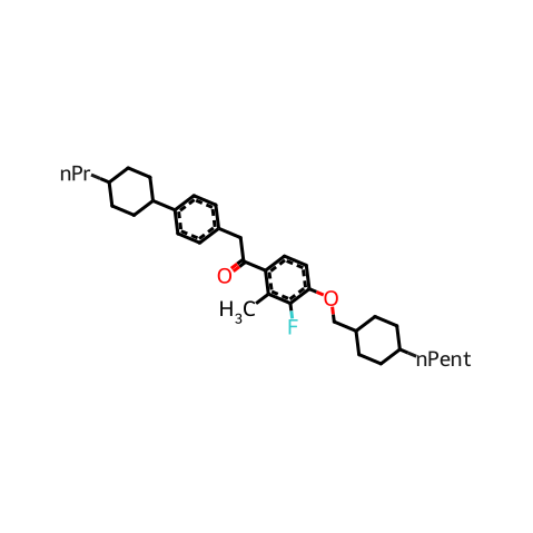 CCCCCC1CCC(COc2ccc(C(=O)Cc3ccc(C4CCC(CCC)CC4)cc3)c(C)c2F)CC1